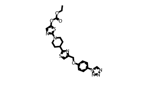 CCOC(=O)Oc1cnc(N2CCC(c3nc(COc4ccc(-n5cnnn5)cc4)cs3)CC2)s1